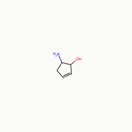 NC1CC=CC1O